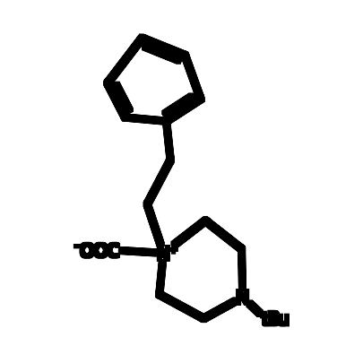 CC(C)(C)N1CC[N+](CCc2ccccc2)(C(=O)[O-])CC1